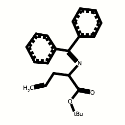 C=CCC(N=C(c1ccccc1)c1ccccc1)C(=O)OC(C)(C)C